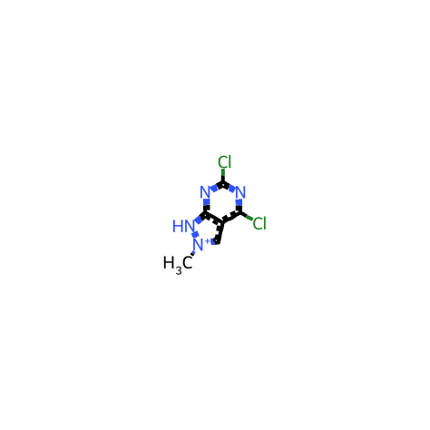 C[n+]1cc2c(Cl)nc(Cl)nc2[nH]1